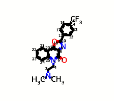 CN(C)CCn1c(=O)c2nc(-c3ccc(C(F)(F)F)cc3)oc2c2ccccc21